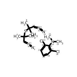 CC(C)(C=[N+]=[N-])SC(C)(C)C=[N+]=[N-].CN(C)c1c(Cl)cccc1Cl